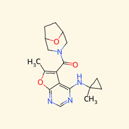 Cc1oc2ncnc(NC3(C)CC3)c2c1C(=O)N1CC2CCC(C1)O2